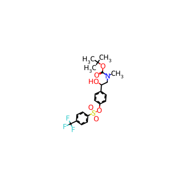 CN(CC(O)c1ccc(OS(=O)(=O)c2ccc(C(F)(F)F)cc2)cc1)C(=O)OC(C)(C)C